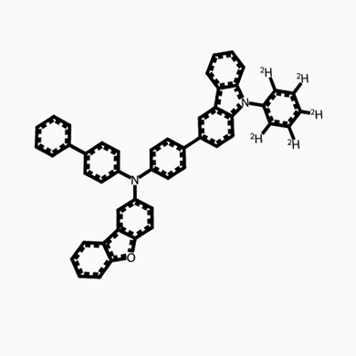 [2H]c1c([2H])c([2H])c(-n2c3ccccc3c3cc(-c4ccc(N(c5ccc(-c6ccccc6)cc5)c5ccc6oc7ccccc7c6c5)cc4)ccc32)c([2H])c1[2H]